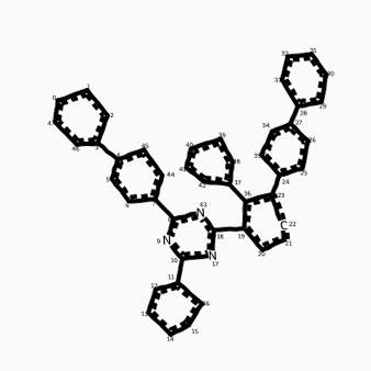 c1ccc(-c2ccc(-c3nc(-c4ccccc4)nc(-c4cccc(-c5ccc(-c6ccccc6)cc5)c4-c4ccccc4)n3)cc2)cc1